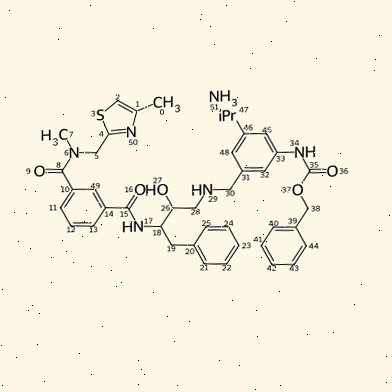 Cc1csc(CN(C)C(=O)c2cccc(C(=O)NC(Cc3ccccc3)C(O)CNCc3cc(NC(=O)OCc4ccccc4)cc(C(C)C)c3)c2)n1.N